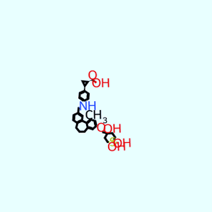 Cc1cc(OCC2(O)CCS(O)(O)CC2)cc2c1-c1cc(CNc3ccc([C@H]4C[C@@H]4C(=O)O)cc3)ccc1CCC2